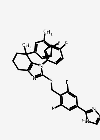 Cc1cc(C2(C)CCCc3nc(SCc4c(F)cc(-c5nnc[nH]5)cc4F)n(-c4ccc(F)cc4)c32)ccc1F